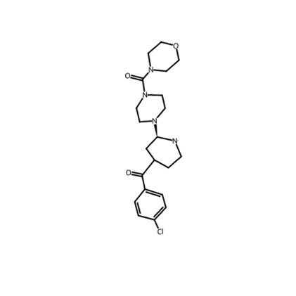 O=C(c1ccc(Cl)cc1)C1CC[N][C@H](N2CCN(C(=O)N3CCOCC3)CC2)C1